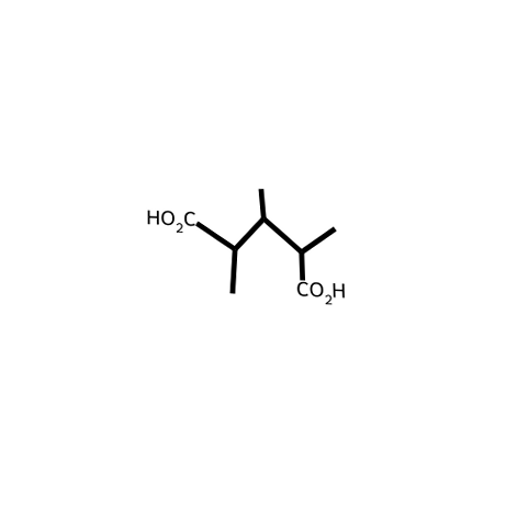 CC(C(=O)O)C(C)C(C)C(=O)O